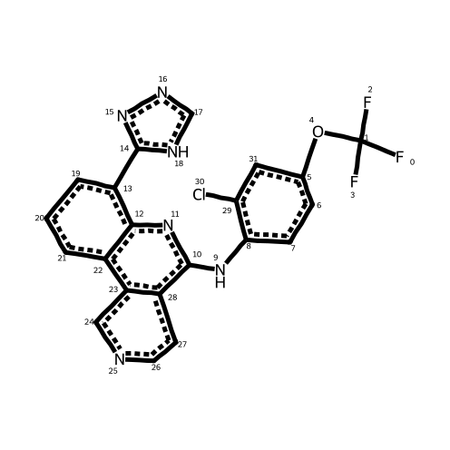 FC(F)(F)Oc1ccc(Nc2nc3c(-c4nnc[nH]4)cccc3c3cnccc23)c(Cl)c1